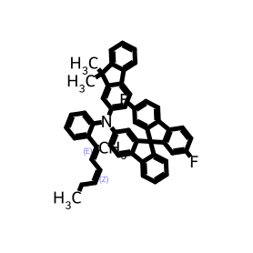 CC/C=C\C=C(/C)c1ccccc1N(c1ccc2c(c1)C(C)(C)c1ccccc1-2)c1ccc2c(c1)C1(c3ccccc3-2)c2cc(F)ccc2-c2ccc(F)cc21